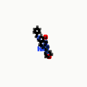 O=C1CN(Cc2ccccc2)CC2=C1N=C1N=C(N3CCOCC3)NN1C2